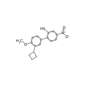 COc1ccc(-c2ccc([N+](=O)[O-])cc2S)cc1C1CCC1